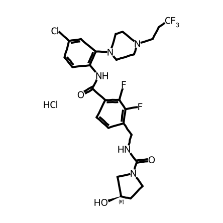 Cl.O=C(Nc1ccc(Cl)cc1N1CCN(CCC(F)(F)F)CC1)c1ccc(CNC(=O)N2CC[C@@H](O)C2)c(F)c1F